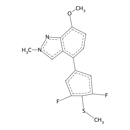 COc1ccc(-c2cc(F)c(SC)c(F)c2)c2cn(C)nc12